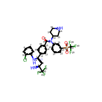 N=C(/C=C(\Nc1ccccc1Cl)c1ccc(C(=O)N(c2cccc(S(=O)(=O)C(F)(F)F)c2)C2CCNCC2)cc1)C(F)(F)F